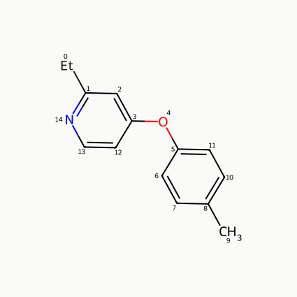 CCc1cc(Oc2ccc(C)cc2)ccn1